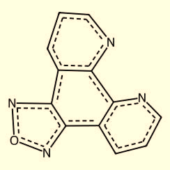 c1cnc2c(c1)c1nonc1c1cccnc12